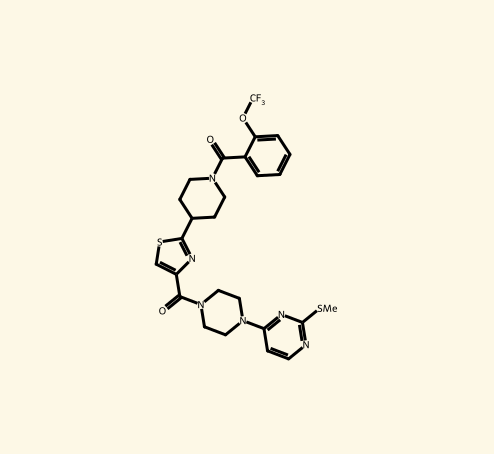 CSc1nccc(N2CCN(C(=O)c3csc(C4CCN(C(=O)c5ccccc5OC(F)(F)F)CC4)n3)CC2)n1